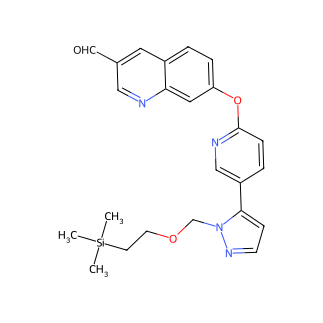 C[Si](C)(C)CCOCn1nccc1-c1ccc(Oc2ccc3cc(C=O)cnc3c2)nc1